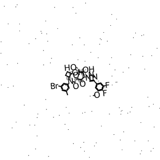 COc1cc(-c2cn([C@H]3[C@@H](O)[C@@H](CO)O[C@@H](C(=O)N(c4cc(C)cc(Br)c4)[C@H]4CC[C@@H]4O)[C@@H]3OC)nn2)cc(F)c1F